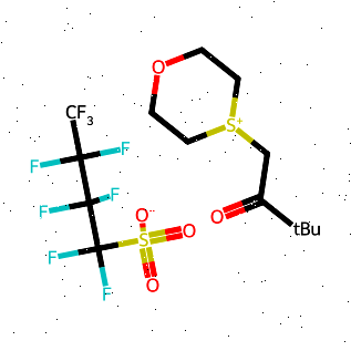 CC(C)(C)C(=O)C[S+]1CCOCC1.O=S(=O)([O-])C(F)(F)C(F)(F)C(F)(F)C(F)(F)F